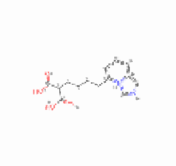 O=C(O)C(CCCCc1cccc2cncn12)C(=O)O